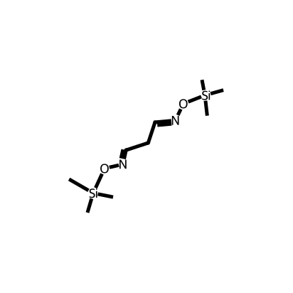 C[Si](C)(C)ON=CCC=NO[Si](C)(C)C